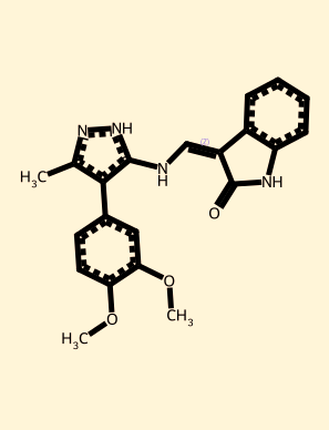 COc1ccc(-c2c(C)n[nH]c2N/C=C2\C(=O)Nc3ccccc32)cc1OC